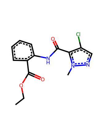 CCOC(=O)c1ccccc1NC(=O)c1c(Cl)cnn1C